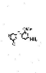 COc1cc(N)ccc1Oc1cncc(Cl)c1